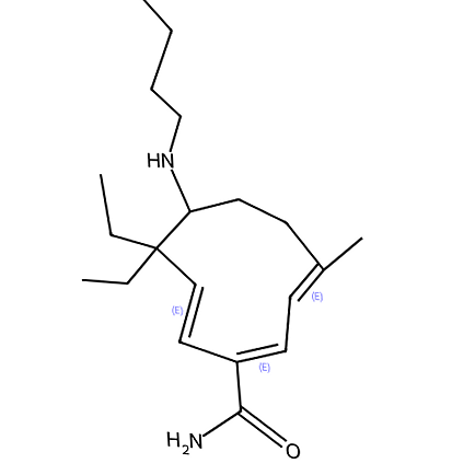 CCCCNC1CC/C(C)=C/C=C(C(N)=O)\C=C\C1(CC)CC